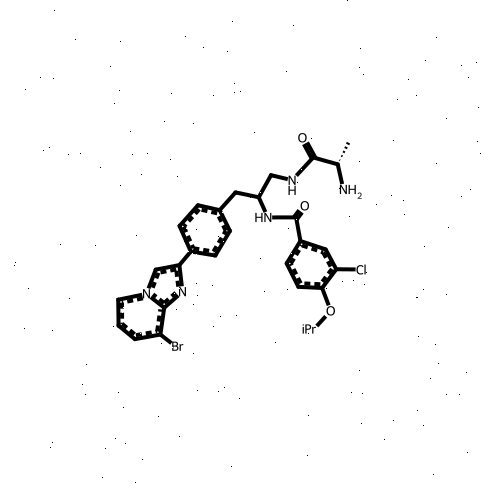 CC(C)Oc1ccc(C(=O)NC(CNC(=O)[C@H](C)N)Cc2ccc(-c3cn4cccc(Br)c4n3)cc2)cc1Cl